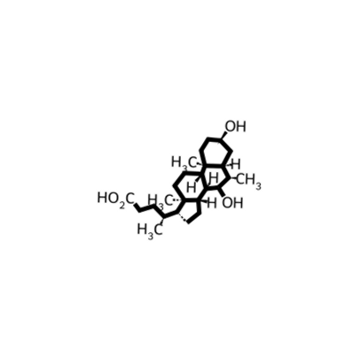 C[C@H](CCC(=O)O)[C@H]1CC[C@H]2[C@@H]3C(O)[C@@H](C)[C@@H]4C[C@H](O)CC[C@]4(C)[C@H]3CC[C@]12C